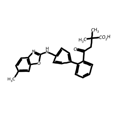 Cc1ccc2nc(Nc3ccc(-c4ccccc4C(=O)CC(C)(C)C(=O)O)cc3)oc2c1